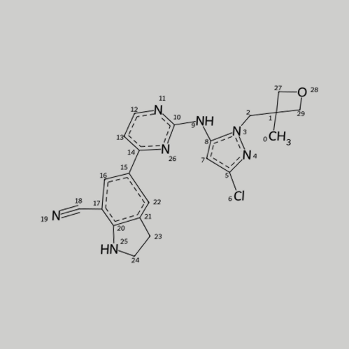 CC1(Cn2nc(Cl)cc2Nc2nccc(-c3cc(C#N)c4c(c3)CCN4)n2)COC1